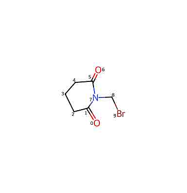 O=C1CCCC(=O)N1CBr